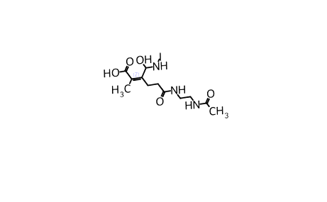 CC(=O)NCCNC(=O)CC/C(=C(\C)C(=O)O)C(O)NI